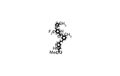 COC(=O)c1cc2cc(CCc3ccc(C)c(NC(=O)c4ccc(CN5CCC(C)C5)c(C(F)(F)F)c4)c3)cnc2[nH]1